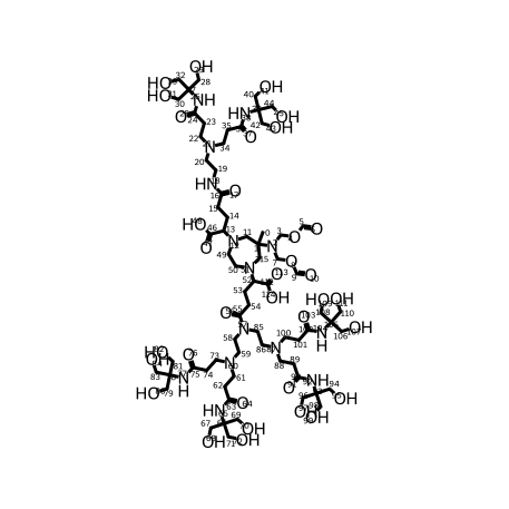 CC1(N(COC=O)COC=O)CN(C(CCC(=O)NCCN(CCC(=O)NC(CO)(CO)CO)CCC(=O)NC(CO)(CO)CO)C(=O)O)CCN(C(CCC(=O)N(CCN(CCC(=O)NC(CO)(CO)CO)CCC(=O)NC(CO)(CO)CO)CCN(CCC(=O)NC(CO)(CO)CO)CCC(=O)NC(CO)(CO)CO)C(=O)O)C1